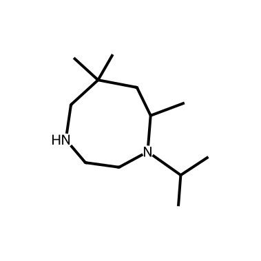 CC(C)N1CCNCC(C)(C)CC1C